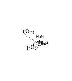 CCCCCCCC/C=C\CCCCCCCC(=O)NC(Cc1c[nH]cn1)C(=O)O.[NaH]